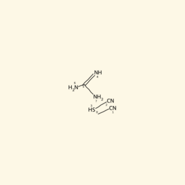 CC#N.N#CS.N=C(N)N